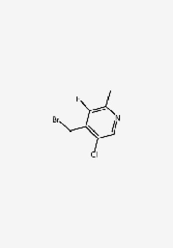 Cc1ncc(Cl)c(CBr)c1F